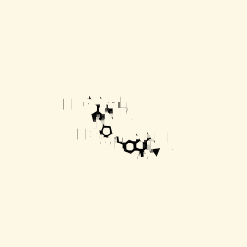 C=Nc1c(/C(N)=N\C)ccn1[C@@H]1C[C@H](CCc2ccc3c(=O)n(C4CC4)c(N)nc3c2)[C@@H](O)[C@H]1O